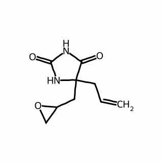 C=CCC1(CC2CO2)NC(=O)NC1=O